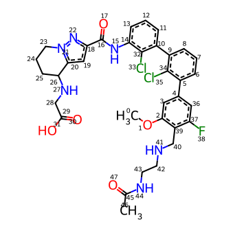 COc1cc(-c2cccc(-c3cccc(NC(=O)c4cc5n(n4)CCCC5NCC(=O)O)c3Cl)c2Cl)cc(F)c1CNCCNC(C)=O